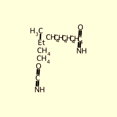 C.C.C.C.C.C.CCC.N=C=O.N=C=O